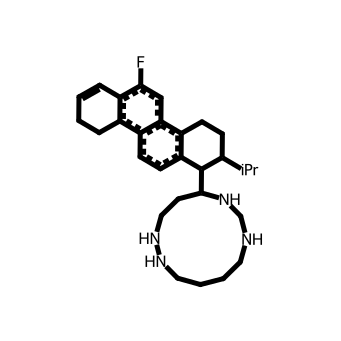 CC(C)C1CCc2c(ccc3c4c(c(F)cc23)C=CCC4)C1C1CCNNCCCCNCN1